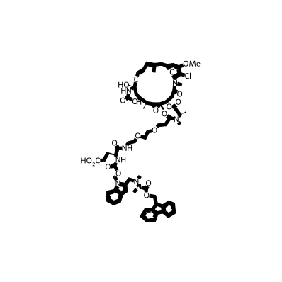 COc1cc2cc(c1Cl)N(C)C(=O)C[C@H](OC(=O)[C@H](C)N(C)C(=O)CCOCCOCCNC(=O)[C@H](CCC(=O)O)NC(=O)OCn1c(CN(C)N(C)C(=O)OCC3c4ccccc4-c4ccccc43)cc3ccccc31)[C@]1(C)OC1[C@H](C)[C@@H]1C[C@](O)(C/C=C/C=C(\C)C2)NC(=O)O1